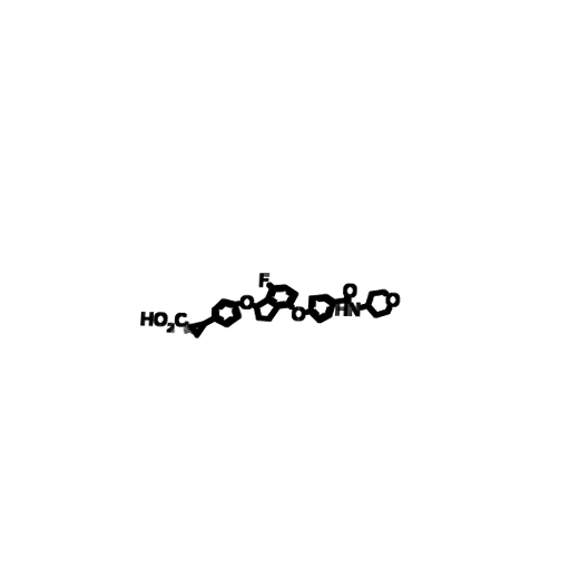 O=C(NC1CCOCC1)c1ccc(Oc2ccc(F)c3c2CCC3Oc2ccc(C3C[C@@H]3C(=O)O)cc2)cc1